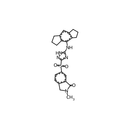 CN1Cc2ccc(S(=O)(=O)c3n[nH]c(Nc4c5c(cc6c4CCC6)CCC5)n3)cc2C1=O